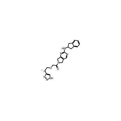 C[C@H](COCC(=O)N1Cc2cnc(NC3Cc4ccccc4C3)nc2C1)c1c[nH]nn1